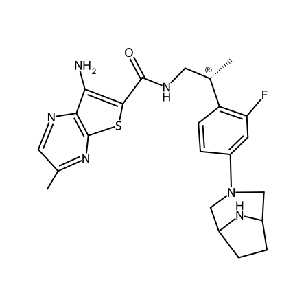 Cc1cnc2c(N)c(C(=O)NC[C@H](C)c3ccc(N4CC5CCC(C4)N5)cc3F)sc2n1